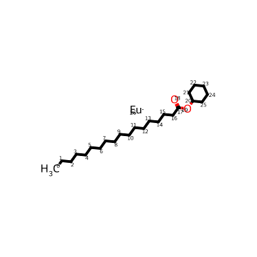 CCCCCCCCCCCCCCCCCC(=O)OC1CCCCC1.[Eu]